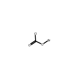 O=C(Cl)OBr